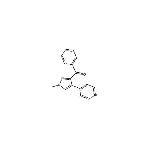 Cn1cc(-c2ccncc2)c(C(=O)c2ccccc2)n1